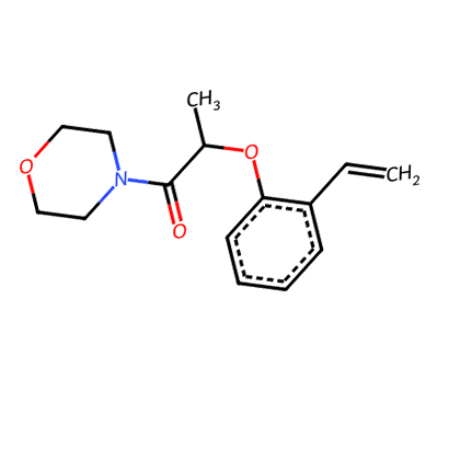 C=Cc1ccccc1OC(C)C(=O)N1CCOCC1